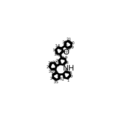 c1ccc2c(c1)[nH]c1ccc(-c3cccc4c3oc3ccccc34)cc1c1ccccc1c1ccccc21